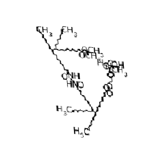 CCCCCCCCC(CCCCCCCCC(=O)NCCNC(=O)CCCCCCCCC(CCCCCCCC)C(CCCCCCCC)CCCCCCCCC(=O)OC(C)C)C(CCCCCCCC)CCCCCCCCC(=O)OOCCc1ccc(C(=O)C(C)(C)O)cc1